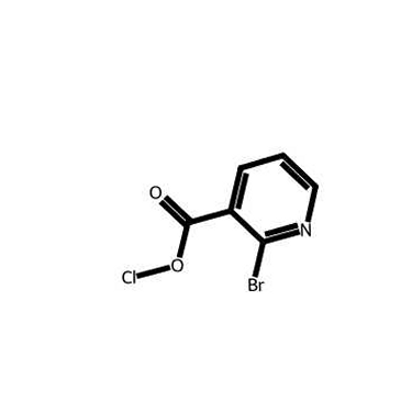 O=C(OCl)c1cccnc1Br